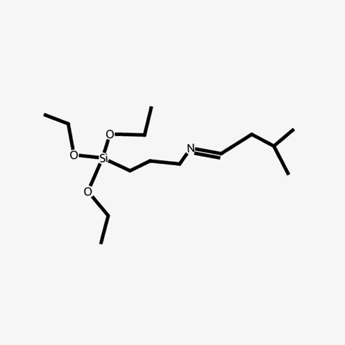 CCO[Si](CCCN=CCC(C)C)(OCC)OCC